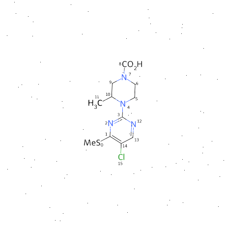 CSc1nc(N2CCN(C(=O)O)CC2C)ncc1Cl